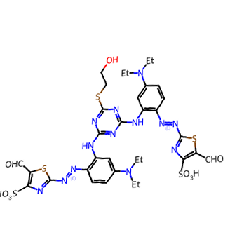 CCN(CC)c1ccc(/N=N/c2nc(S(=O)(=O)O)c(C=O)s2)c(Nc2nc(Nc3cc(N(CC)CC)ccc3/N=N/c3nc(S(=O)(=O)O)c(C=O)s3)nc(SCCO)n2)c1